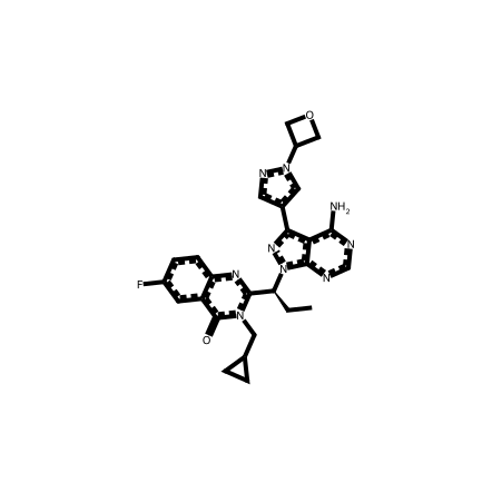 CC[C@@H](c1nc2ccc(F)cc2c(=O)n1CC1CC1)n1nc(-c2cnn(C3COC3)c2)c2c(N)ncnc21